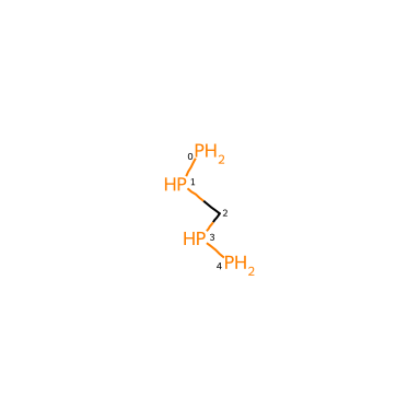 PPCPP